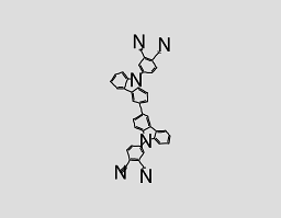 N#Cc1ccc(-n2c3ccccc3c3cc(-c4ccc5c(c4)c4ccccc4n5-c4ccc(C#N)c(C#N)c4)ccc32)cc1C#N